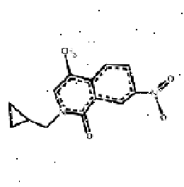 Cc1cn(CC2CC2)c(=O)c2cc([N+](=O)[O-])ccc12